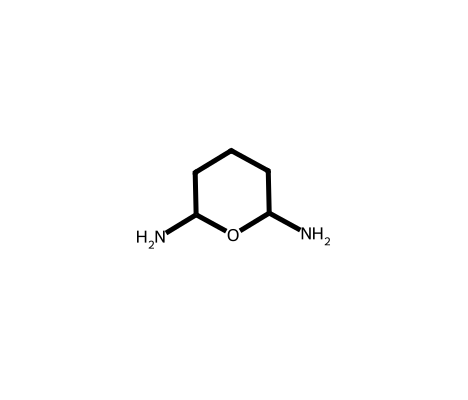 NC1CCCC(N)O1